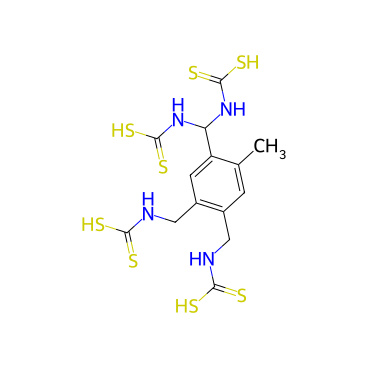 Cc1cc(CNC(=S)S)c(CNC(=S)S)cc1C(NC(=S)S)NC(=S)S